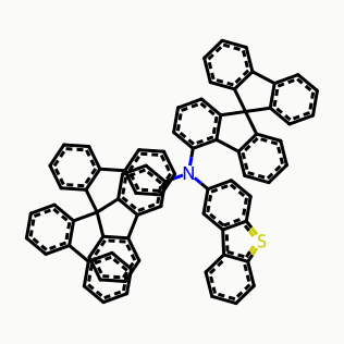 c1ccc(-c2ccccc2C2(c3ccccc3-c3ccccc3)c3ccccc3-c3cc(N(c4ccc5sc6ccccc6c5c4)c4cccc5c4-c4ccccc4C54c5ccccc5-c5ccccc54)ccc32)cc1